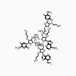 COCCOC1C(n2cnc3c(N)ncnc32)O[C@H](COP(=O)(O)OC2[C@@H](COP(=O)(S)OC3[C@@H](CO)O[C@@H](n4cnc5c(N)ncnc54)[C@H]3OCCOC)O[C@@H](n3cc(C)c(N)nc3=O)[C@H]2OCCOC)[C@@H]1OP(=O)(O)OC[C@@H]1C[C@H](OCCOC)[C@H](n2cc(C)c(N)nc2=O)O1